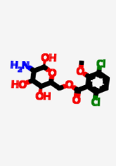 COc1c(Cl)ccc(Cl)c1C(=O)OCC1O[C@@H](O)C(N)C(O)[C@@H]1O